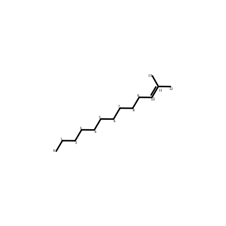 CCCCCCCCCC[C]=C(C)C